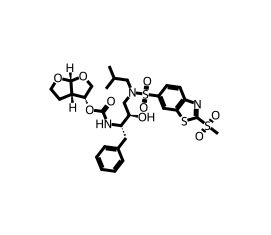 CC(C)CN(C[C@@H](O)[C@H](Cc1ccccc1)NC(=O)O[C@H]1CO[C@H]2OCC[C@H]21)S(=O)(=O)c1ccc2nc(S(C)(=O)=O)sc2c1